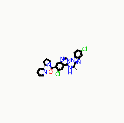 C[C@H](Nc1ncnc2cc(C(=O)N3CCC[C@H]3c3ccccn3)c(Cl)cc12)c1nc2cc(Cl)ccc2[nH]1